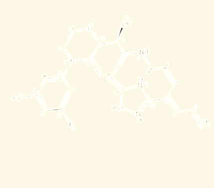 C=C/C=C(\C=C/CNC(=O)[C@H](O)[C@H]1OCCN(c2cc(F)cc(F)c2)C1=O)c1noc(=O)[nH]1